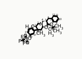 C[C@H]1CN(C[C@H](Cc2ccccc2)C(=O)OC(C)(C)C)CC[C@@]1(C)c1cccc(OS(=O)(=O)C(F)(F)F)c1